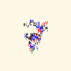 Cc1ncsc1-c1ccc(CNC(=O)[C@@H]2C[C@@H](Oc3ccc(CCC(=O)N[C@H](C(=O)N4C[C@H](Oc5ccc6c(c5)C(=O)N([C@H](C(=O)N5C[C@H](O)C[C@H]5C(=O)NCc5ccc(-c7scnc7C)cc5)C(C)C)C6)C[C@H]4C(=O)NCc4ccc(-c5scnc5C)cc4)C(C)(C)C)cn3)CN2C(=O)C(N)C(F)(F)F)cc1